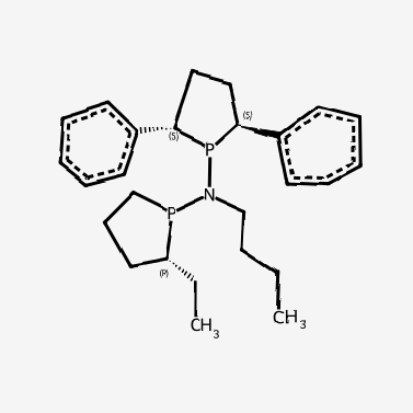 CCCCN(P1CCC[C@H]1CC)P1[C@H](c2ccccc2)CC[C@H]1c1ccccc1